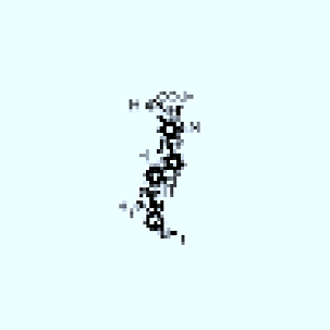 Cc1c(-c2nc3cc(CNC(C)C(=O)O)cc(C#N)c3o2)cccc1-c1cccc(NC(=O)c2nc3c(n2C)CCN(C)C3)c1Cl